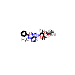 CN(C(=O)c1ccccc1)c1ncnc2c1ncn2[C@@H]1O[C@@H]2CO[Si](C(C)(C)C)(C(C)(C)C)O[C@@H]2[C@H]1F